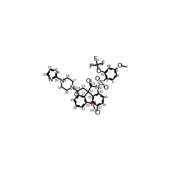 COc1ccc(S(=O)(=O)N2C(=O)C(CC(=O)N3CCN(c4nccs4)CC3)(c3ccccc3OC)c3cc(Cl)ccc32)c(OC(F)(F)F)c1